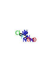 Fc1ccc(Cl)cc1-c1cc(-c2cnc(OCCN3CCOCC3)c3cnccc23)c2cccnc2n1